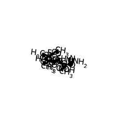 CC(=O)OC[C@H](F)C1OC(OP(=O)(O)OP(=O)(S)OC[C@H]2O[C@@H](c3coc4c(N)ncnc34)[C@H](O)[C@@H]2N(C)C)C(OC(C)=O)C(O)C1OC(C)=O